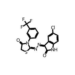 O=C1Nc2ccc(Cl)cc2C1=NN=C1SCC(=O)N1c1cccc(C(F)(F)F)c1